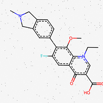 CCn1cc(C(=O)O)c(=O)c2cc(F)c(-c3ccc4c(c3)CN(C)C4)c(OC)c21